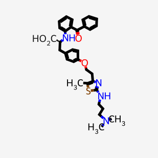 Cc1sc(NCCCN(C)C)nc1CCOc1ccc(C[C@H](Nc2ccccc2C(=O)c2ccccc2)C(=O)O)cc1